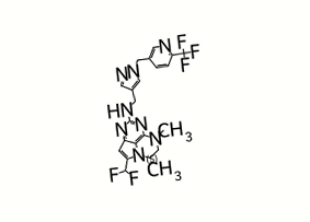 C[C@H]1CN(C)c2nc(NCc3cnn(Cc4ccc(C(F)(F)F)nc4)c3)nc3cc(C(F)F)n1c23